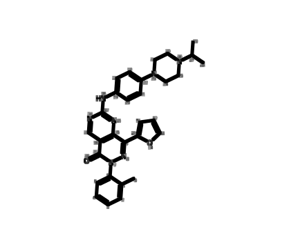 Cc1ccccc1-n1nc(-c2ccco2)c2nc(Nc3ccc(N4CCN(C(C)C)CC4)cc3)ncc2c1=O